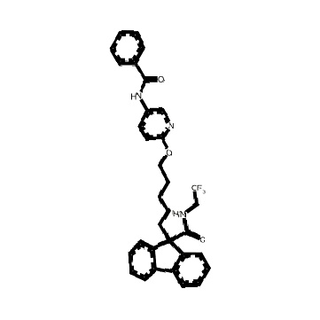 O=C(Nc1ccc(OCCCCCC2(C(=O)NCC(F)(F)F)c3ccccc3-c3ccccc32)nc1)c1ccccc1